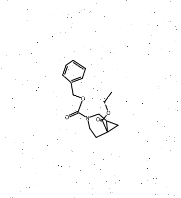 CCOC(=O)C12CCN(C(=O)OCc3ccccc3)CC1C2